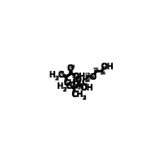 C=C(C)C(=O)O.C=C(C)C(=O)O.CCOCCO